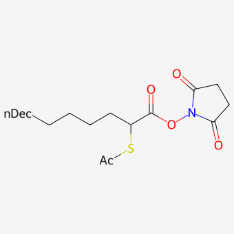 CCCCCCCCCCCCCCC(SC(C)=O)C(=O)ON1C(=O)CCC1=O